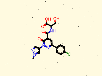 Cn1cc(-n2nc(-c3ccc(Cl)cc3)cc(C(=O)NC(CO)C(=O)O)c2=O)cn1